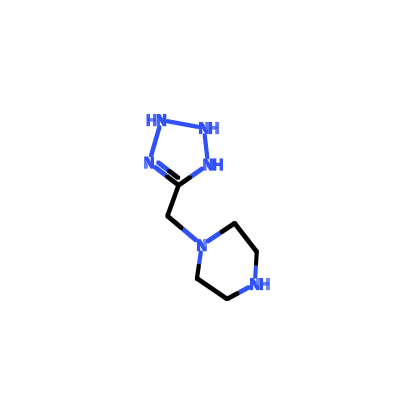 C1CN(CC2=NNNN2)CCN1